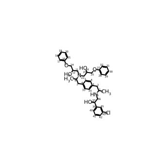 CC(Cc1ccc(CC(C)N(CC(O)COc2ccccc2)CC(O)COc2ccccc2)cc1)NCC(O)c1cccc(Cl)c1